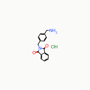 Cl.NCc1ccc(CN2C(=O)c3ccccc3C2=O)cc1